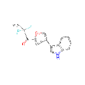 CC(F)(F)C(=O)c1cc(-c2c[nH]c3ccccc23)co1